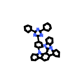 c1ccc(-c2nc(-c3ccccc3)nc(-c3ccc(-n4c5ccccc5c5ccc6c7ccccc7n7c8ccccc8nc7c6c54)cc3)n2)cc1